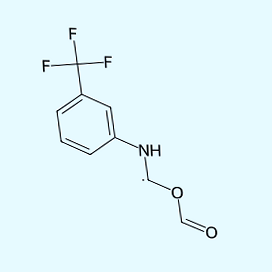 O=CO[CH]Nc1cccc(C(F)(F)F)c1